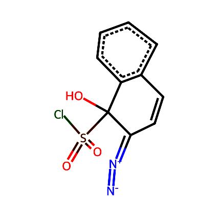 [N-]=[N+]=C1C=Cc2ccccc2C1(O)S(=O)(=O)Cl